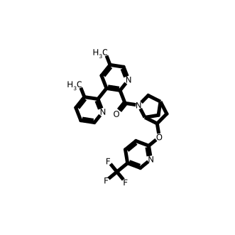 Cc1cnc(C(=O)N2CC3CC(Oc4ccc(C(F)(F)F)cn4)C2C3)c(-c2ncccc2C)c1